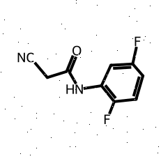 N#CCC(=O)Nc1cc(F)ccc1F